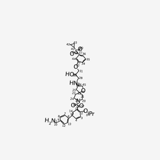 CC(C)Oc1ccc(-c2ccc(CN)cc2)cc1S(=O)(=O)N1CCC2(CC1)C[C@@H](NCC(O)COc1cccc(S(=O)(=O)C3CC3)c1)CO2